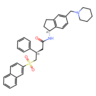 O=C(C[C@@H](CS(=O)(=O)c1ccc2ccccc2c1)c1ccccc1)N[C@@H]1CCc2cc(CN3CCCCC3)ccc21